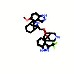 COc1ccc2[nH]ncc2c1C1(CCCC2CCC3CNCC2C3(OC)c2cccc3[nH]nc(C(F)(F)F)c23)C2CCCC1CNC2